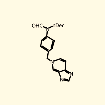 CCCCCCCCCCN(C=O)c1ccc(Cn2ccc3ncnc-3c2)cc1